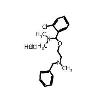 CN(CCOC(c1ccccc1Cl)N(C)C)Cc1ccccc1.Cl.Cl